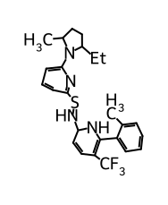 CCC1CCC(C)N1c1cccc(SNC2C=CC(C(F)(F)F)=C(c3ccccc3C)N2)n1